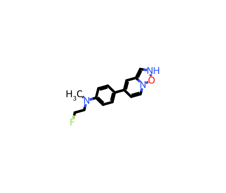 CN(CCF)c1ccc(C2=CC3=CNON3C=C2)cc1